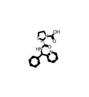 O=C(NC(c1ccccc1)c1ccccn1)[C@@H]1SCCN1C(=O)O